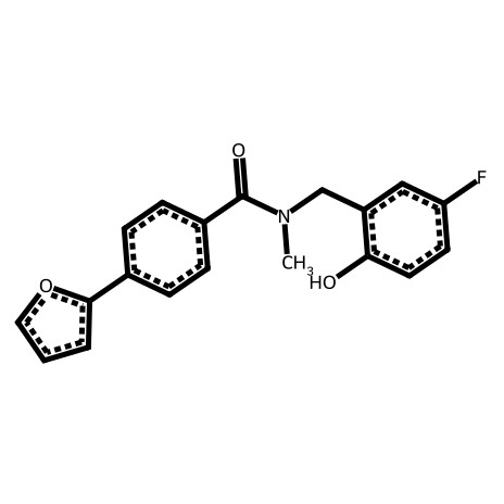 CN(Cc1cc(F)ccc1O)C(=O)c1ccc(-c2ccco2)cc1